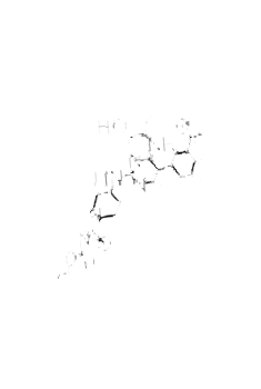 CCOC(=O)/N=[SH](=O)/c1ccc(Nc2ncc(-c3cccc(C(C)=O)c3)c(N[C@H](C)CO)n2)cc1